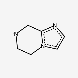 c1cn2c(n1)C[N]CC2